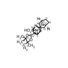 CC1(C)OB(c2ccc(N3[C@@H]4CC[C@H]3C[C@H](NC(=O)O)C4)nc2)OC1(C)C